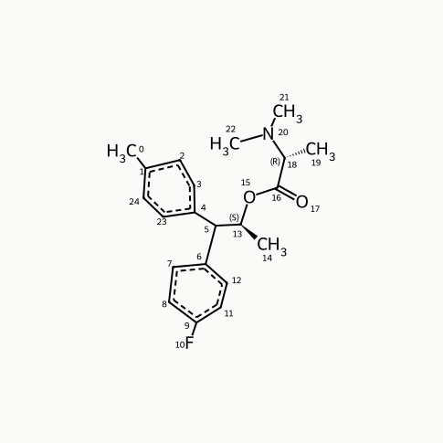 Cc1ccc(C(c2ccc(F)cc2)[C@H](C)OC(=O)[C@@H](C)N(C)C)cc1